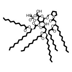 CCCCCCCCCCC[C@H](CC(=O)NC1C(OC(=O)C[C@@H](CCCCCCCCCCC)OC(=O)CCCCCCCCC)[C@H](OP(=O)(O)O)C(CO)O[C@H]1OC[C@@H]1CCCN1C(=O)C[C@@H](CCCCCCCCCCC)OC(=O)CCCCCCCCC)OC(=O)CCCCCCCCC